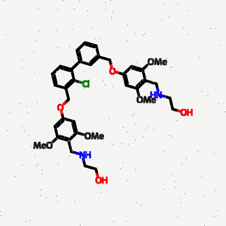 COc1cc(OCc2cccc(-c3cccc(COc4cc(OC)c(CNCCO)c(OC)c4)c3Cl)c2)cc(OC)c1CNCCO